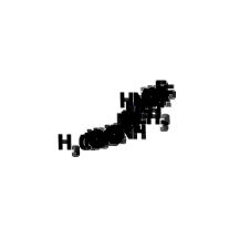 C/C(=N\c1cnc(Nc2ccc(N3CCN(C)CC3)cc2)nc1C)Nc1ccc(C(F)(F)F)cc1